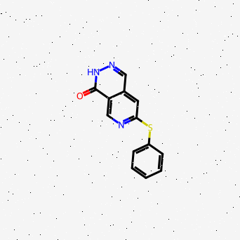 O=c1[nH]ncc2cc(Sc3ccccc3)ncc12